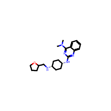 CN(C)c1nc(N[C@H]2CC[C@@H](NCC3CCCO3)CC2)nc2ccccc12